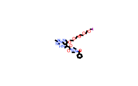 Cc1ncn(-c2ncc(OCCOCCOCCOCCOCI)c3c(C(=O)C(=O)N4CCN(C(=O)c5ccccc5)CC4)c[nH]c23)n1